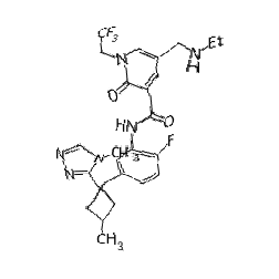 CCNCc1cc(C(=O)Nc2cc(C3(c4nncn4C)CC(C)C3)ccc2F)c(=O)n(CC(F)(F)F)c1